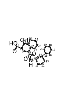 O=C(O)c1cc(S(=O)(=O)Nc2cccc(-c3ccccc3)c2)c2ccccc2c1O